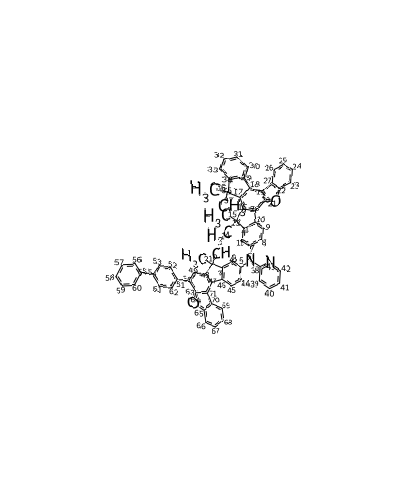 CC1(C)c2cc(N(c3ccc4c(c3)C(C)(C)c3c5c(c6c(oc7ccccc76)c3-4)-c3ccccc3C5(C)C)c3ccccn3)ccc2-c2c1cc(-c1ccc(-c3ccccc3)cc1)c1oc3ccccc3c21